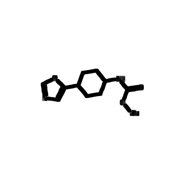 CC(C)(C)OC(=O)NC1CCC(c2cnco2)CC1